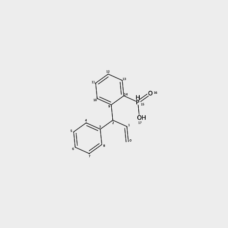 C=CC(c1ccccc1)c1ccccc1[PH](=O)O